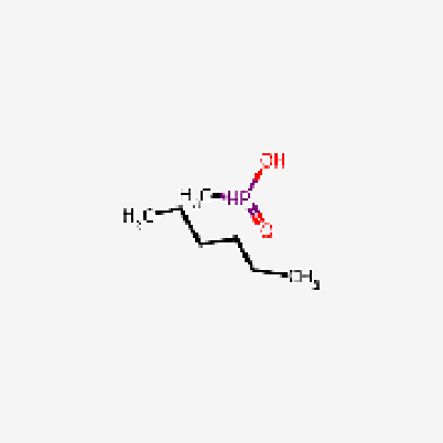 CCCCCC.C[PH](=O)O